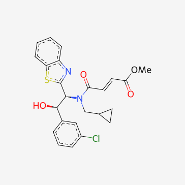 COC(=O)C=CC(=O)N(CC1CC1)[C@H](c1nc2ccccc2s1)[C@H](O)c1cccc(Cl)c1